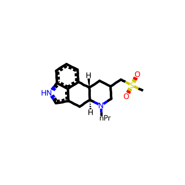 CCCN1CC(CS(C)(=O)=O)C[C@H]2c3cccc4[nH]cc(c34)C[C@@H]21